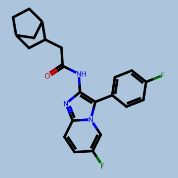 O=C(CC1CC2CCC1C2)Nc1nc2ccc(F)cn2c1-c1ccc(F)cc1